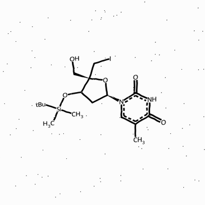 Cc1cn([C@H]2CC(O[Si](C)(C)C(C)(C)C)[C@](CO)(CI)O2)c(=O)[nH]c1=O